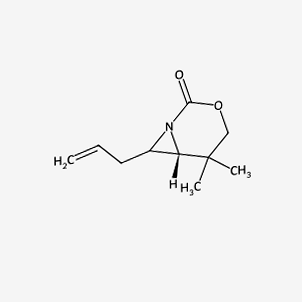 C=CCC1[C@@H]2N1C(=O)OCC2(C)C